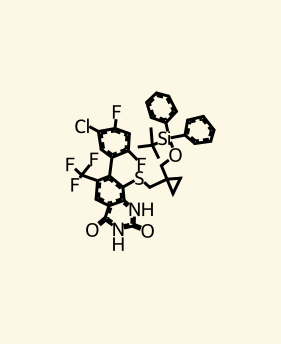 CC(C)(C)[Si](OCC1(CSc2c(-c3cc(Cl)c(F)cc3F)c(C(F)(F)F)cc3c(=O)[nH]c(=O)[nH]c23)CC1)(c1ccccc1)c1ccccc1